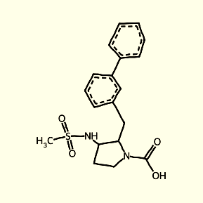 CS(=O)(=O)NC1CCN(C(=O)O)C1Cc1cccc(-c2ccccc2)c1